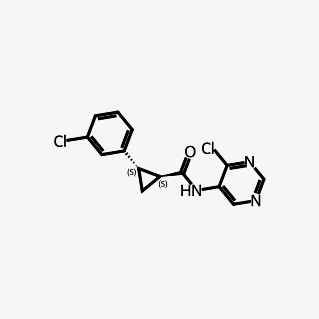 O=C(Nc1cncnc1Cl)[C@H]1C[C@@H]1c1cccc(Cl)c1